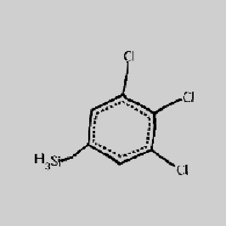 [SiH3]c1cc(Cl)c(Cl)c(Cl)c1